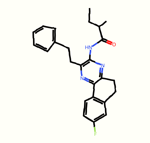 CCC(C)C(=O)Nc1nc2c(nc1CCc1ccccc1)-c1ccc(F)cc1CC2